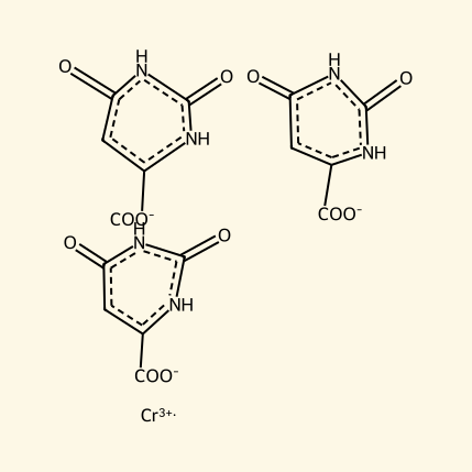 O=C([O-])c1cc(=O)[nH]c(=O)[nH]1.O=C([O-])c1cc(=O)[nH]c(=O)[nH]1.O=C([O-])c1cc(=O)[nH]c(=O)[nH]1.[Cr+3]